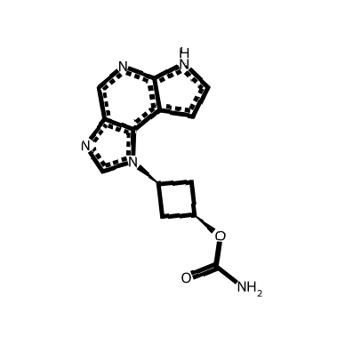 NC(=O)O[C@H]1C[C@@H](n2cnc3cnc4[nH]ccc4c32)C1